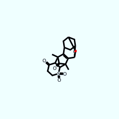 CC12C(=O)C(C)(C3=C1C1CC4CC(C1)CC3C4)C1C2C(=O)CCS1(=O)=O